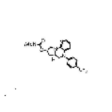 CNC(=O)O[C@@H]1C[C@@H]2CN(c3ccc(C(F)(F)F)cc3)c3cccnc3N2C1